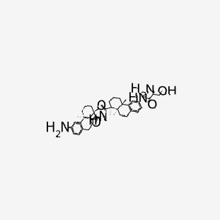 CN(C(=O)[C@@]1(C)CCC[C@]2(C)c3cc(N)ccc3CC[C@@H]12)C(=O)[C@@]1(C)CCC[C@]2(C)c3cc(NC(=O)[C@@H](N)CO)ccc3CC[C@@]12C